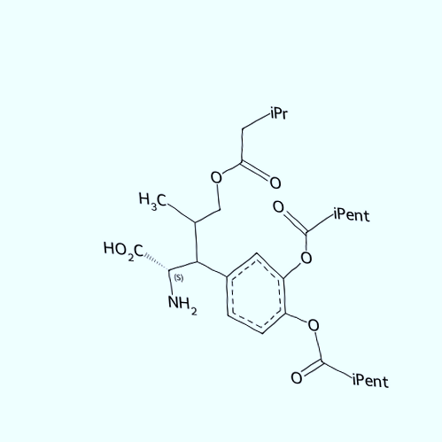 CCCC(C)C(=O)Oc1ccc(C(C(C)COC(=O)CC(C)C)[C@H](N)C(=O)O)cc1OC(=O)C(C)CCC